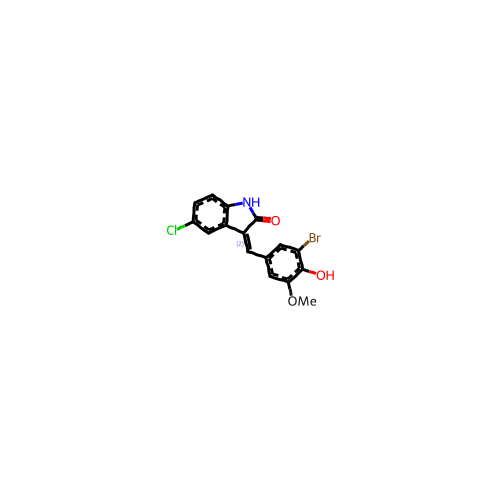 COc1cc(/C=C2\C(=O)Nc3ccc(Cl)cc32)cc(Br)c1O